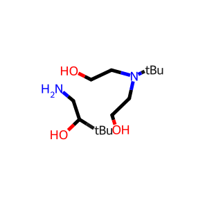 CC(C)(C)C(O)CN.CC(C)(C)N(CCO)CCO